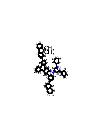 CC1(C)c2ccccc2-c2ccc(-c3ccc4c(c3)c3ccccc3c3cc5c6cc(-c7ccc8ccccc8c7)ccc6n(-c6cc(-c7ccccc7)nc(-c7ccccc7)c6)c5cc43)cc21